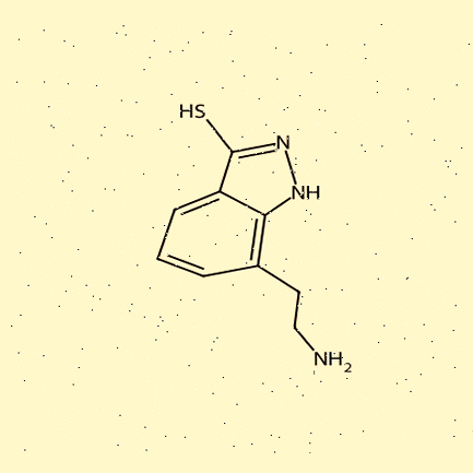 NCCc1cccc2c(S)n[nH]c12